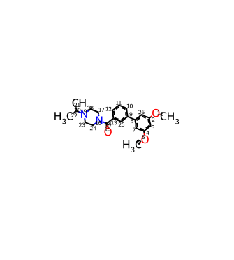 COc1cc(OC)cc(-c2cccc(C(=O)N3CCN(C(C)C)CC3)c2)c1